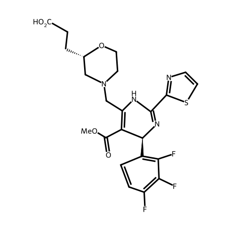 COC(=O)C1=C(CN2CCO[C@@H](CCC(=O)O)C2)NC(c2nccs2)=N[C@H]1c1ccc(F)c(F)c1F